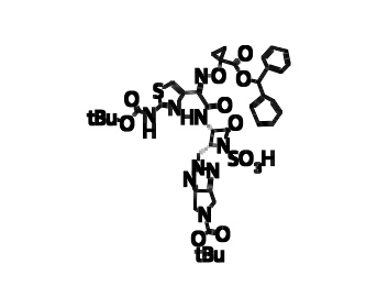 CC(C)(C)OC(=O)Nc1nc(C(=NOC2(C(=O)OC(c3ccccc3)c3ccccc3)CC2)C(=O)N[C@@H]2C(=O)N(S(=O)(=O)O)[C@@H]2Cn2nc3c(n2)CN(C(=O)OC(C)(C)C)C3)cs1